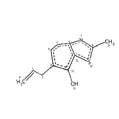 C=CCc1ccc2nc(C)sc2c1O